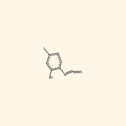 CC(C)c1cc(I)ccc1N=C=S